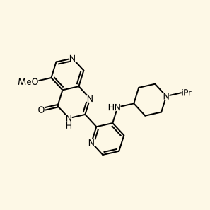 COc1cncc2nc(-c3ncccc3NC3CCN(C(C)C)CC3)[nH]c(=O)c12